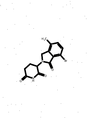 Cc1ccc(Br)c2c1CN(C1CCC(=O)NC1=O)C2=O